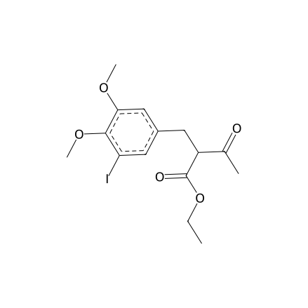 CCOC(=O)C(Cc1cc(I)c(OC)c(OC)c1)C(C)=O